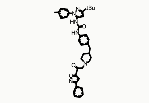 Cc1ccc(-n2nc(C(C)(C)C)cc2NC(=O)Nc2ccc(CC3CCN(CC(=O)c4cc(-c5ccccc5)no4)CC3)cc2)cc1